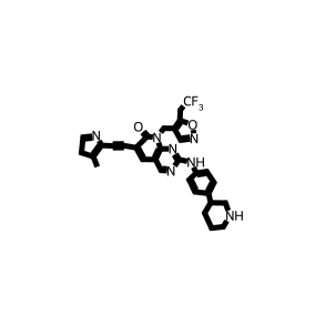 CC1=C(C#Cc2cc3cnc(Nc4ccc(C5CCCNC5)cc4)nc3n(Cc3cnoc3CC(F)(F)F)c2=O)N=CC1